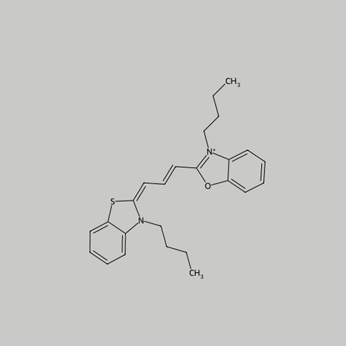 CCCCN1C(=CC=Cc2oc3ccccc3[n+]2CCCC)Sc2ccccc21